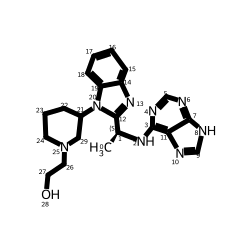 C[C@H](Nc1ncnc2[nH]cnc12)c1nc2ccccc2n1C1CCCN(CCO)C1